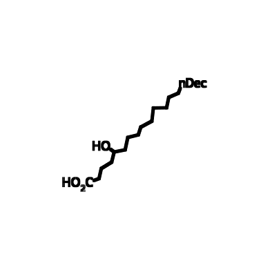 CCCCCCCCCCCCCCCCCCCC(O)CCCC(=O)O